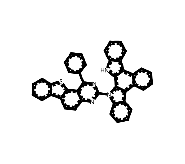 c1ccc(-c2nc(-n3c4ccccc4c4c5ccccc5c5c6ccccc6[nH]c5c43)nc3ccc4c5ccccc5sc4c23)cc1